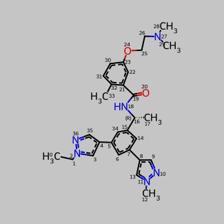 CCn1cc(-c2cc(-c3cnn(C)c3)cc([C@@H](C)NC(=O)c3cc(OCCN(C)C)ccc3C)c2)cn1